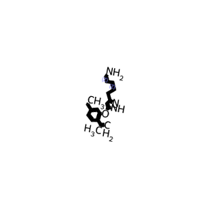 C=C(C)c1ccc(CC)cc1Oc1cc(C/C=C\C=C/N)n[nH]1